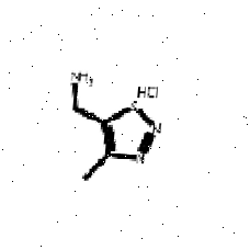 Cc1nnsc1CN.Cl